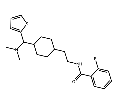 CN(C)C(c1cccs1)C1CCC(CCNC(=O)c2ccccc2F)CC1